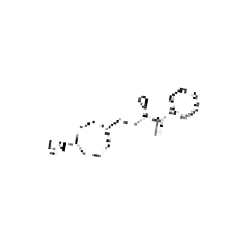 NC1CCC=C(CCC(=O)Nc2ccccc2)CC1